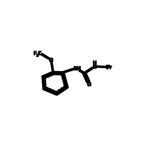 CC(C)NC(=O)Nc1ccccc1OC(F)(F)F